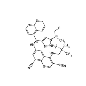 C[C@@H](CF)n1cc([C@@H](Nc2cc(C#N)c3ncc(C#N)c(NCC(C)(C)C)c3c2)c2cccc3ncccc23)nn1